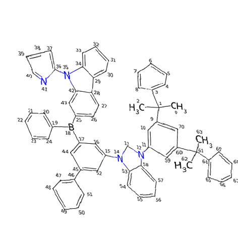 CC(C)(c1ccccc1)c1cc(N2CN(c3cc(B(c4ccccc4)c4ccc5c6ccccc6n(-c6ccccn6)c5c4)cc(-c4ccccc4)c3)c3ccccc32)cc(C(C)(C)c2ccccc2)c1